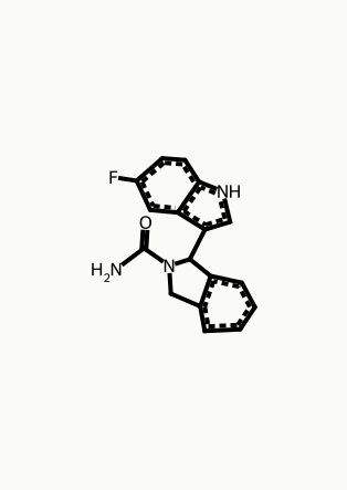 NC(=O)N1Cc2ccccc2C1c1c[nH]c2ccc(F)cc12